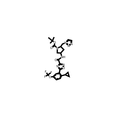 CC(C)(C)OC(=O)N1CC(NC(=O)c2noc(-c3cc(OC(F)(F)F)ccc3C3CC3)n2)CC1Cn1ccnn1